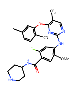 COc1cc(C(=O)NC2CCNCC2)c(F)cc1Nc1ncc(C(F)(F)F)c(Oc2cc(C)ccc2C#N)n1